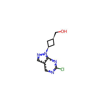 OC[C@H]1C[C@@H](n2ncc3cnc(Cl)nc32)C1